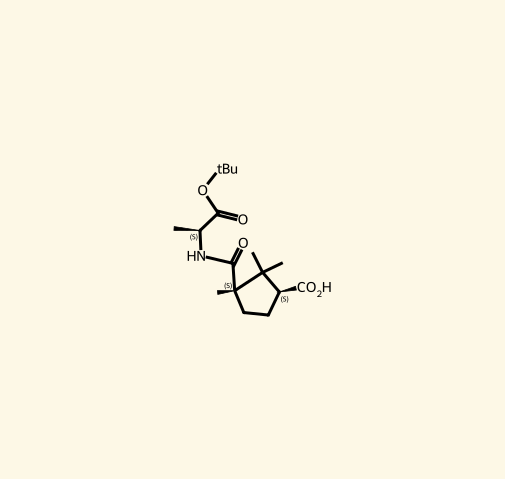 C[C@H](NC(=O)[C@@]1(C)CC[C@H](C(=O)O)C1(C)C)C(=O)OC(C)(C)C